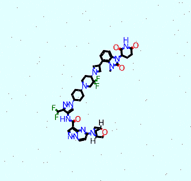 Cn1c(=O)n(C2CCC(=O)NC2=O)c2cccc(C3CN([C@H]4CCN([C@H]5CC[C@H](n6cc(NC(=O)c7cnn8ccc(N9C[C@H]%10C[C@@H]9CO%10)nc78)c(C(F)F)n6)CC5)CC4(F)F)C3)c21